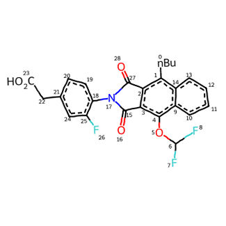 CCCCc1c2c(c(OC(F)F)c3ccccc13)C(=O)N(c1ccc(CC(=O)O)cc1F)C2=O